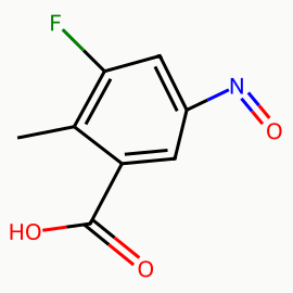 Cc1c(F)cc(N=O)cc1C(=O)O